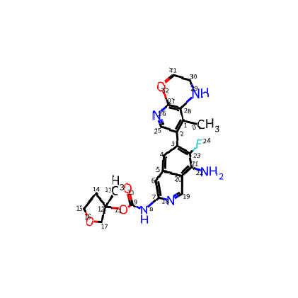 Cc1c(-c2cc3cc(NC(=O)OC4(C)CCOC4)ncc3c(N)c2F)cnc2c1NCCO2